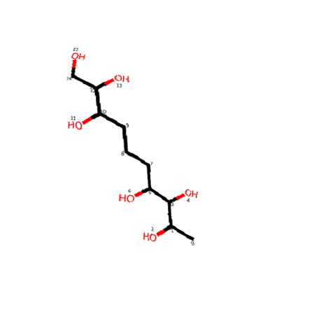 CC(O)C(O)C(O)C[CH]CC(O)C(O)CO